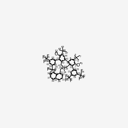 COc1c(C(C)(C)C)cc2c(c1-c1cc(C(F)(F)F)cc(C(F)(F)F)c1)C[N+](C)([C@@H](C)c1cccc3ccccc13)Cc1c-2cc(C(C)(C)C)c(OC)c1-c1cc(C(F)(F)F)cc(C(F)(F)F)c1